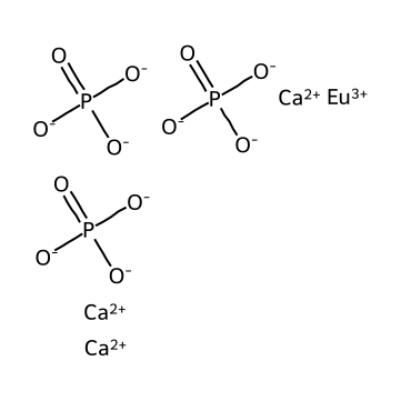 O=P([O-])([O-])[O-].O=P([O-])([O-])[O-].O=P([O-])([O-])[O-].[Ca+2].[Ca+2].[Ca+2].[Eu+3]